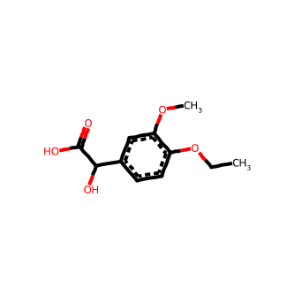 CCOc1ccc(C(O)C(=O)O)cc1OC